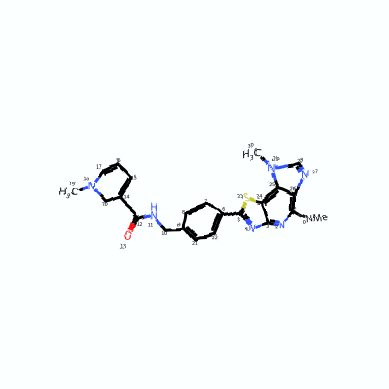 CNc1nc2nc(-c3ccc(CNC(=O)C4=CC=CN(C)C4)cc3)sc2c2c1ncn2C